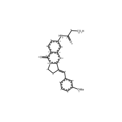 COc1cccc(C=C2CCn3c2nc2cc(NC(=O)CC(=O)O)ccc2c3=O)c1